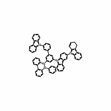 C1=Cc2c(c3ccccc3n2-c2ccc3c(c2)c2ccccc2n3-c2cc(-c3cccc(-n4c5ccccc5c5ccccc54)c3)cc(N3B(c4ccccc4)c4ccccc4-c4ccccc43)c2)CC1